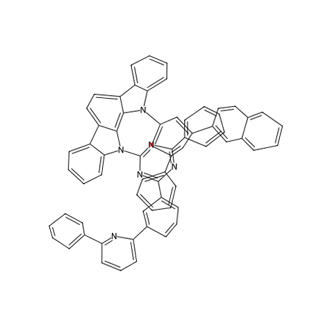 c1ccc(-c2cc(-c3ccc4ccccc4c3)cc(-n3c4ccccc4c4ccc5c6ccccc6n(-c6nc(-c7ccccc7)nc(-c7cccc(-c8cccc(-c9ccccc9)n8)c7)n6)c5c43)c2)cc1